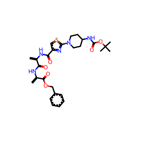 C=C(NC(=O)c1csc(N2CCC(NC(=O)OC(C)(C)C)CC2)n1)C(=O)NC(=C)C(=O)OCc1ccccc1